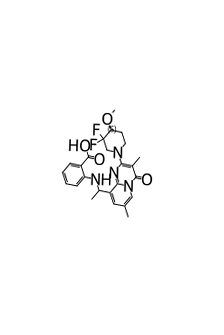 CO[C@H]1CCN(c2nc3c(C(C)Nc4ccccc4C(=O)O)cc(C)cn3c(=O)c2C)CC1(F)F